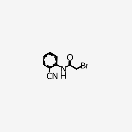 N#Cc1ccccc1NC(=O)CBr